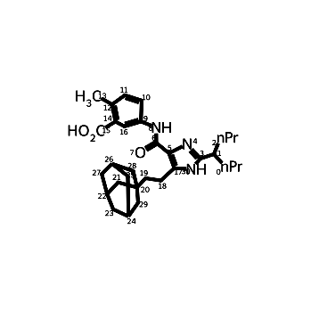 CCCC(CCC)c1nc(C(=O)Nc2ccc(C)c(C(=O)O)c2)c(CCC23CC4CC(CC(C4)C2)C3)[nH]1